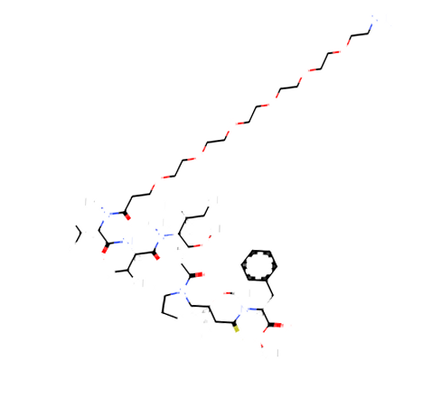 CC[C@H](C)[C@@H]([C@@H](CC(=O)N1CCC[C@H]1[C@H](OC)[C@@H](C)C(=S)N[C@@H](Cc1ccccc1)C(=O)OC)OC)N(C)C(=O)[C@@H](NC(=O)[C@H](C(C)C)N(C)C(=O)CCOCCOCCOCCOCCOCCOCCN)C(C)C